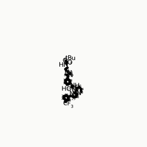 CC(C)(C)OC(=O)NCCn1cc(-c2cccc(NC(O)N3c4nc(-c5cccc(C(F)(F)F)c5)ccc4N4CCC[C@H]3C4)c2)nn1